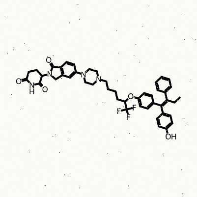 CCC(=C(c1ccc(O)cc1)c1ccc(OC(CCCCN2CCN(c3ccc4c(c3)CN(C3CCC(=O)NC3=O)C4=O)CC2)C(F)(F)F)cc1)c1ccccc1